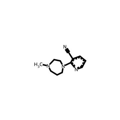 CN1CCCN(c2ncccc2C#N)CC1